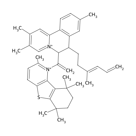 C=CC=C(C)CCC1c2cc(C)ccc2-c2cc(C)c(C)c[n+]2C1C(=C)[n+]1c(C)ccc2sc3c(c21)C(C)(C)CCC3(C)C